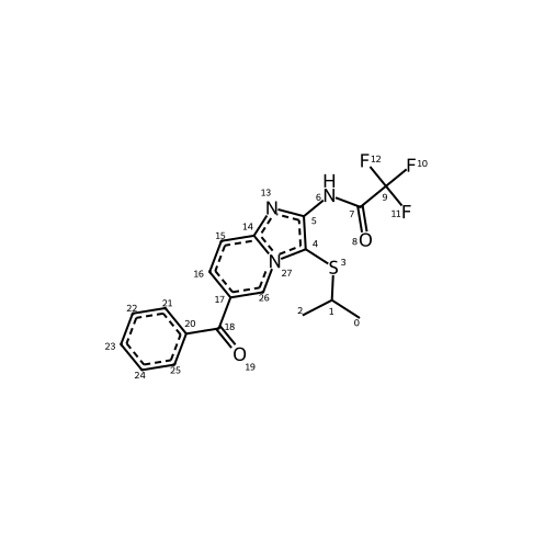 CC(C)Sc1c(NC(=O)C(F)(F)F)nc2ccc(C(=O)c3ccccc3)cn12